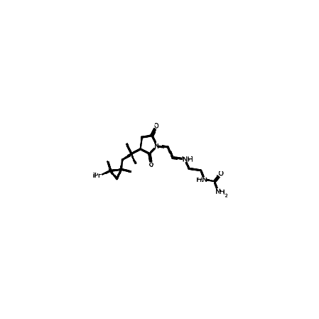 CC(C)C1(C)CC1(C)CC(C)(C)C1CC(=O)N(CCNCCNC(N)=O)C1=O